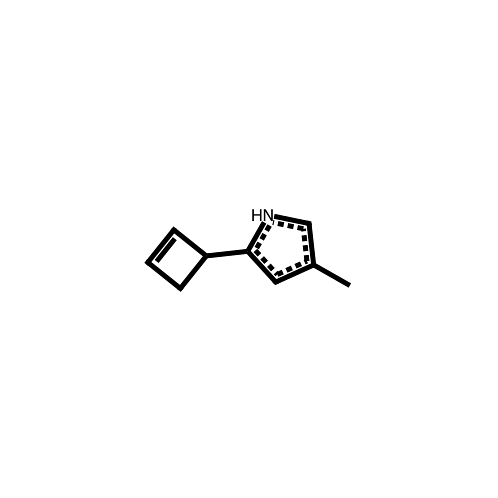 Cc1c[nH]c(C2C=CC2)c1